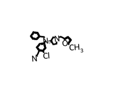 Cc1ccc(CN2CC[C@H](N(Cc3ccccc3)c3ccc(C#N)c(Cl)c3)C2)o1